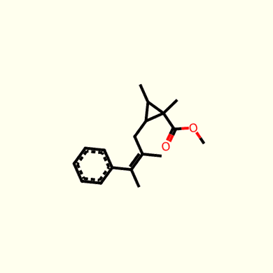 COC(=O)C1(C)C(C)C1CC(C)=C(C)c1ccccc1